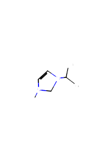 CCCC(OC(C)=O)N1C=CN(C)C1